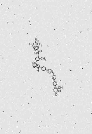 Cc1cc(-c2ncnc3[nH]c(-c4ccc(N5CCN(CC6CCN(c7ccc(N8CCC(=O)NC8O)cc7)CC6)CC5)cc4)cc23)ccc1CNC(=O)c1noc(C(C)(C)C(F)(F)F)n1